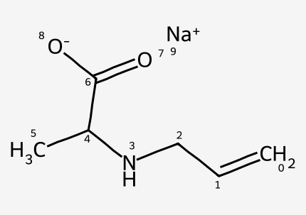 C=CCNC(C)C(=O)[O-].[Na+]